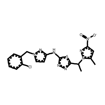 Cc1cc([N+](=O)[O-])nn1C(C)c1nnc(Nc2ccn(Cc3ccccc3Cl)n2)s1